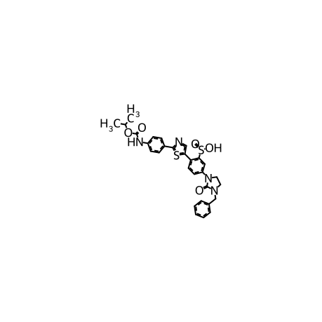 CC(C)OC(=O)Nc1ccc(-c2ncc(-c3ccc(N4CCN(Cc5ccccc5)C4=O)cc3S(=O)O)s2)cc1